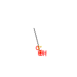 CCCCCCCCCCCCCCCCCC[S+]([O-])CCCOP(=O)(O)O